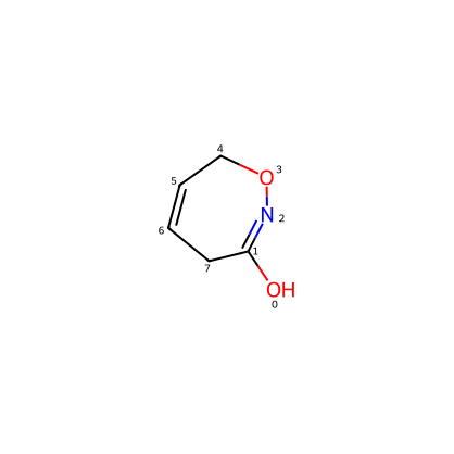 OC1=NOCC=CC1